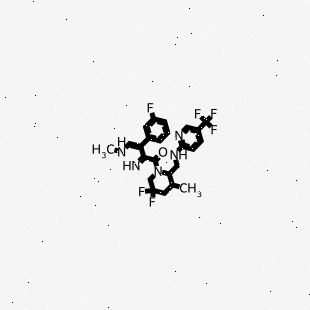 CN/C=C(\C(=N)C(=O)N1CC(F)(F)CC(C)C1CNc1ccc(C(F)(F)F)cn1)c1cccc(F)c1